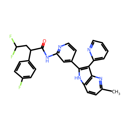 Cc1ccc2[nH]c(-c3ccnc(NC(=O)C(CC(F)F)c4ccc(F)cc4)c3)c(-c3ccccn3)c2n1